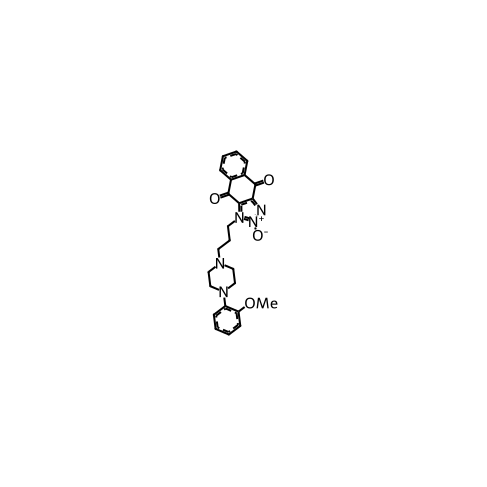 COc1ccccc1N1CCN(CCCn2c3c(n[n+]2[O-])C(=O)c2ccccc2C3=O)CC1